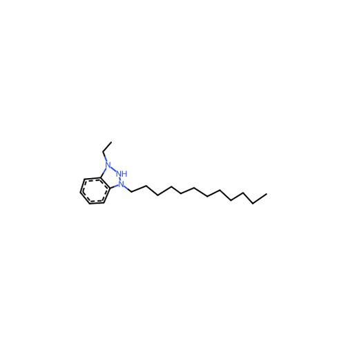 CCCCCCCCCCCCN1NN(CC)c2ccccc21